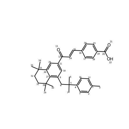 Cc1ccc(C(C)(C)Cc2cc(C(=O)/C=C/c3ccc(C(=O)O)cc3)cc3c2C(C)(C)CCC3(C)C)cc1